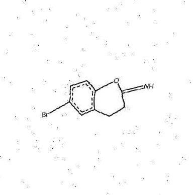 N=C1CCc2cc(Br)ccc2O1